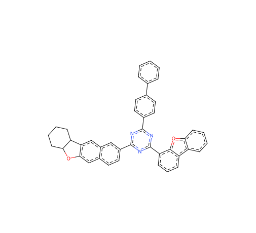 c1ccc(-c2ccc(-c3nc(-c4ccc5cc6c(cc5c4)C4CCCCC4O6)nc(-c4cccc5c4oc4ccccc45)n3)cc2)cc1